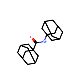 O=C(NC12CC3CC(CC(C3)C1)C2)C12CC3CC(CC(C3)C1)C2